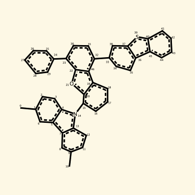 Cc1ccc2c(c1)c1cc(C)ccc1n2-c1cccc2c1oc1c(-c3ccccc3)ccc(-c3ccc4c(c3)sc3ccccc34)c12